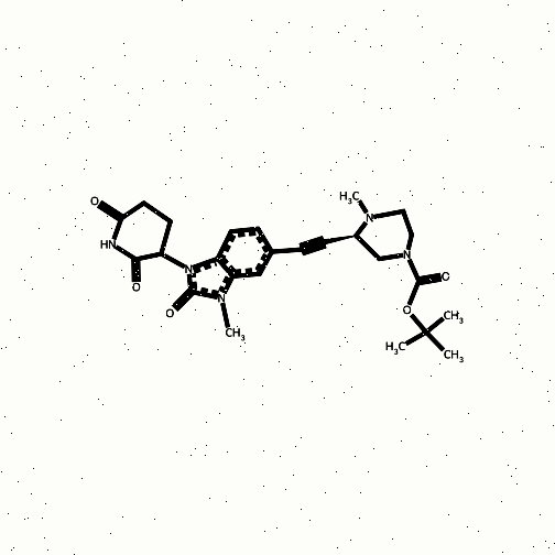 CN1CCN(C(=O)OC(C)(C)C)C[C@H]1C#Cc1ccc2c(c1)n(C)c(=O)n2C1CCC(=O)NC1=O